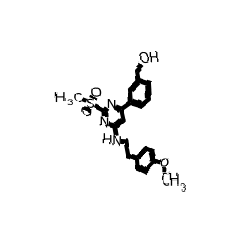 COc1ccc(CCNc2cc(-c3cccc(CO)c3)nc(S(C)(=O)=O)n2)cc1